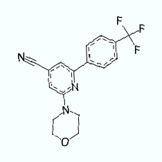 N#Cc1cc(-c2ccc(C(F)(F)F)cc2)nc(N2CCOCC2)c1